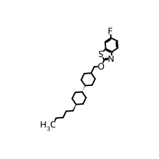 CCCCC[C@H]1CC[C@H](C2CCC(COc3nc4ccc(F)cc4s3)CC2)CC1